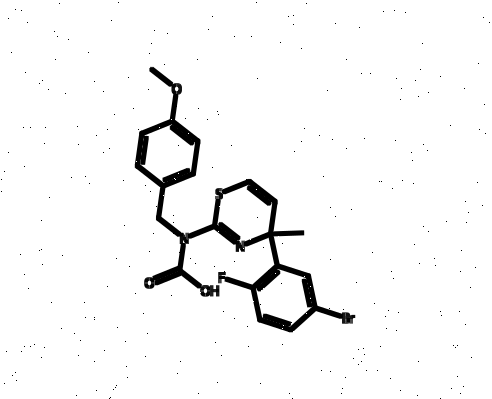 COc1ccc(CN(C(=O)O)C2=NC(C)(c3cc(Br)ccc3F)C=CS2)cc1